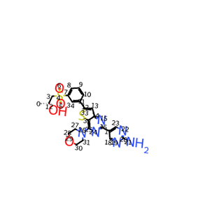 C[C@@H](O)CS(=O)(=O)c1cccc(-c2cc3nc(-c4cnc(N)nc4)nc(N4CCOCC4)c3s2)c1